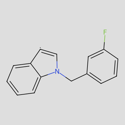 Fc1cccc(Cn2c[c]c3ccccc32)c1